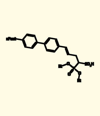 CCCCCc1ccc(-c2ccc(/C=C/CC(P(=O)(OCC)OCC)S(=O)(=O)O)cc2)cc1